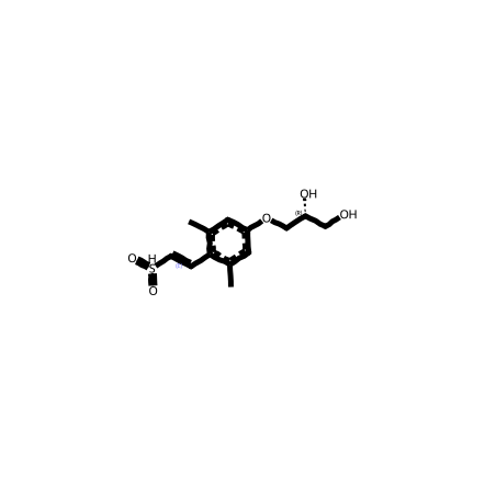 Cc1cc(OC[C@H](O)CO)cc(C)c1/C=C/[SH](=O)=O